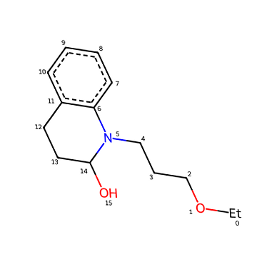 CCOCCCN1c2ccccc2CCC1O